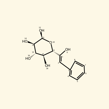 OC(=Cc1ccccc1)[C@H]1O[C@H](O)[C@H](O)[C@@H](O)[C@@H]1O